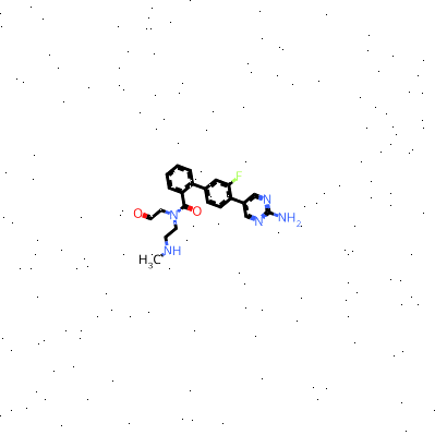 CNCCN(CC=O)C(=O)c1ccccc1-c1ccc(-c2cnc(N)nc2)c(F)c1